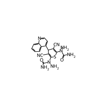 N#CC1=C(N(N)C(N)=O)SC(N(N)C(N)=O)=C(C#N)C1c1ccnc2ccccc12